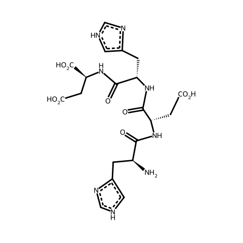 N[C@@H](Cc1c[nH]cn1)C(=O)N[C@@H](CC(=O)O)C(=O)N[C@@H](Cc1c[nH]cn1)C(=O)N[C@@H](CC(=O)O)C(=O)O